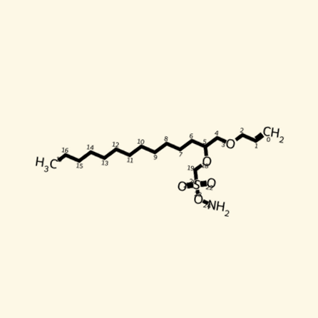 C=CCOCC(CCCCCCCCCCCC)OCS(=O)(=O)ON